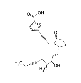 CCC#CC[C@H](C)[C@H](O)/C=C/[C@H]1CCC(=O)N1CC#Cc1ccc(C(=O)O)s1